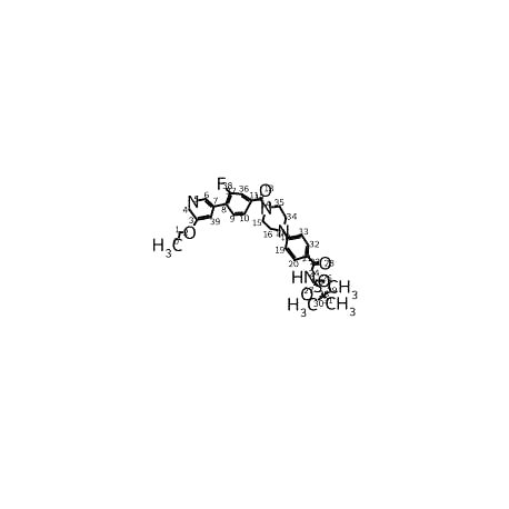 CCOc1cncc(-c2ccc(C(=O)N3CCN(c4ccc(C(=O)NS(=O)(=O)C(C)(C)C)cc4)CC3)cc2F)c1